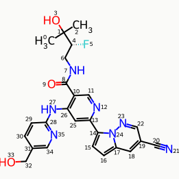 CC(C)(O)[C@H](F)CNC(=O)c1cnc(-c2ccc3cc(C#N)cnn23)cc1Nc1ccc(CO)cn1